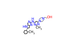 Cc1nc(Nc2ncc3[nH]c(-c4ccccc4C)cc3n2)cc(N2CCN(CCO)CC2)n1